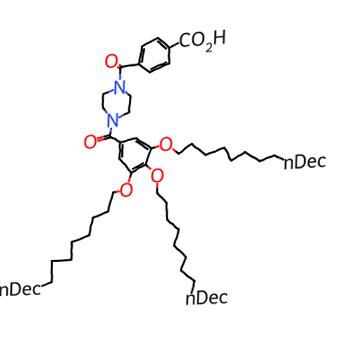 CCCCCCCCCCCCCCCCCCOc1cc(C(=O)N2CCN(C(=O)c3ccc(C(=O)O)cc3)CC2)cc(OCCCCCCCCCCCCCCCCCC)c1OCCCCCCCCCCCCCCCCCC